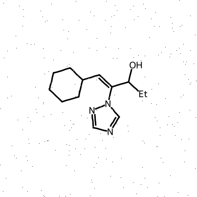 CCC(O)C(=CC1CCCCC1)n1cncn1